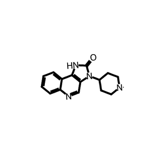 O=c1[nH]c2c3ccccc3ncc2n1C1CC[N]CC1